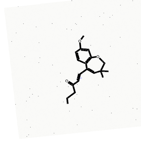 CCCC(=O)/C=C/C1=CC(C)(C)COc2cc(OC)ccc21